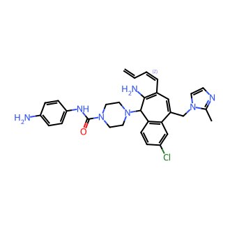 C=C/C=C\C1=C(N)C(N2CCN(C(=O)Nc3ccc(N)cc3)CC2)c2ccc(Cl)cc2C(Cn2ccnc2C)=C1